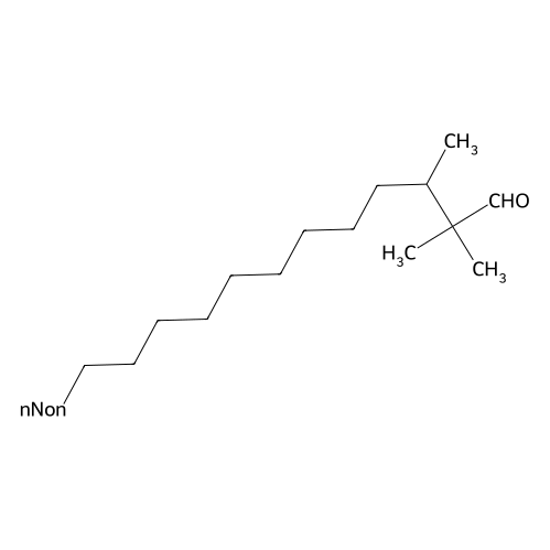 CCCCCCCCCCCCCCCCCCC(C)C(C)(C)C=O